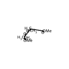 COC(=O)CCCCCCCCCCCC(C)(C)CCC(=O)CCCC(=O)CCC(C)(C)CC(=O)OC